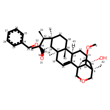 CO[C@@H]1C[C@@]23COC[C@@](C)(C2CC[C@H]2C3=CC[C@@]3(C)[C@H](C(=O)OCc4ccccc4)[C@@](C)([C@H](C)C(C)C)CC[C@]23C)[C@H]1O